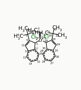 C[CH]=[Zr]([Cl])([Cl])([CH]1C(C(C)(C)C)=Cc2ccccc21)[CH]1C(C(C)(C)C)=Cc2ccccc21